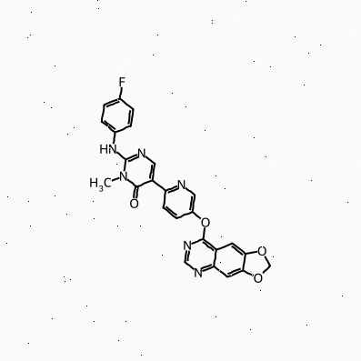 Cn1c(Nc2ccc(F)cc2)ncc(-c2ccc(Oc3ncnc4cc5c(cc34)OCO5)cn2)c1=O